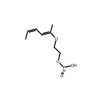 C/C=C\C=C(/C)OCCO[PH](=O)O